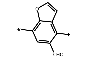 O=Cc1cc(Br)c2occc2c1F